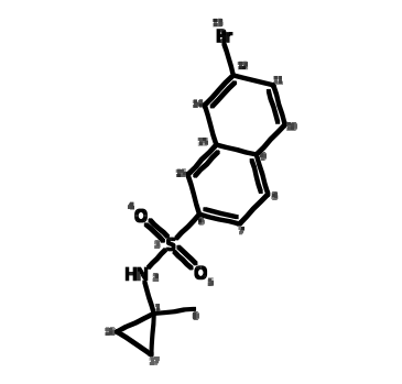 CC1(NS(=O)(=O)c2ccc3ccc(Br)cc3c2)CC1